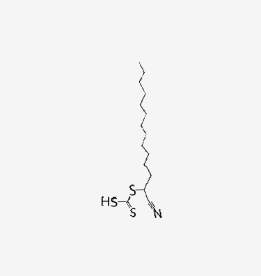 CCCCCCCCCCCCC(C#N)SC(=S)S